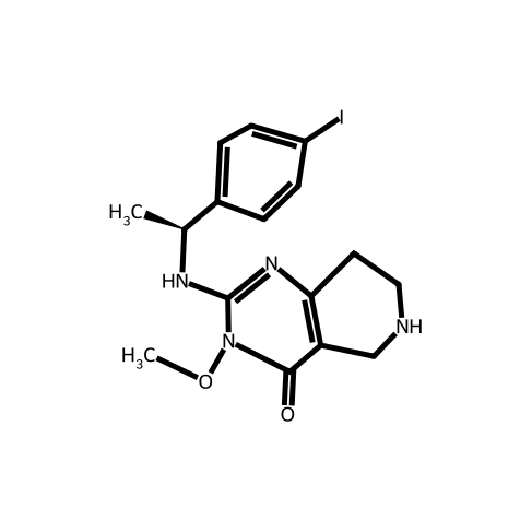 COn1c(N[C@@H](C)c2ccc(I)cc2)nc2c(c1=O)CNCC2